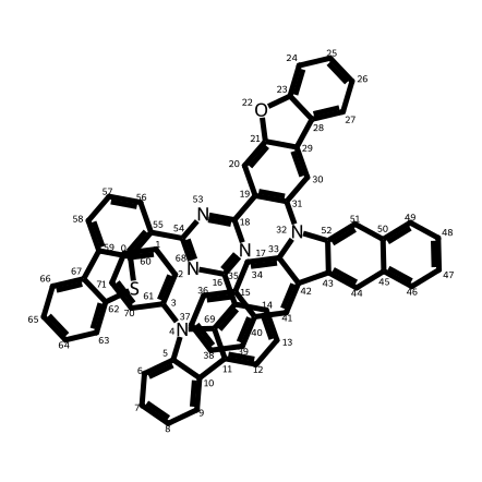 c1ccc(-n2c3ccccc3c3cccc(-c4nc(-c5cc6oc7ccccc7c6cc5-n5c6cc7ccccc7cc6c6cc7ccccc7cc65)nc(-c5cccc6c5sc5ccccc56)n4)c32)cc1